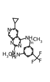 CNc1nc(N[C@H](C)c2cc(N)cc(C(F)(F)F)c2)c2cc(C3CC3)ncc2n1